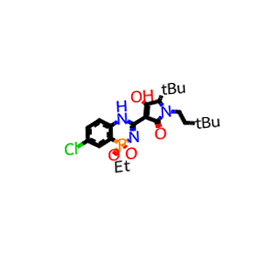 CCOP1(=O)N=C(C2=C(O)C(C(C)(C)C)N(CCC(C)(C)C)C2=O)Nc2ccc(Cl)cc21